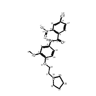 COc1cc(NC(=O)c2ccc(Cl)cc2[N+](=O)[O-])ccc1OCCN1CCCC1